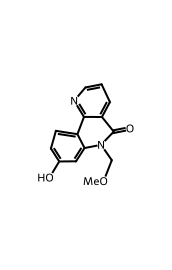 COCn1c(=O)c2cccnc2c2ccc(O)cc21